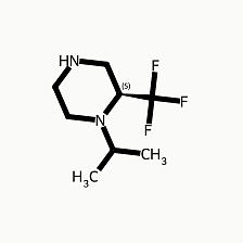 CC(C)N1CCNC[C@H]1C(F)(F)F